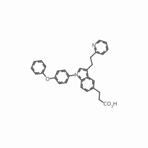 O=C(O)CCc1ccc2c(c1)c(CCc1ccccn1)cn2-c1ccc(Oc2ccccc2)cc1